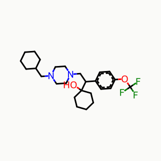 OC1(C(CN2CCN(CC3CCCCC3)CC2)c2ccc(OC(F)(F)F)cc2)CCCCC1